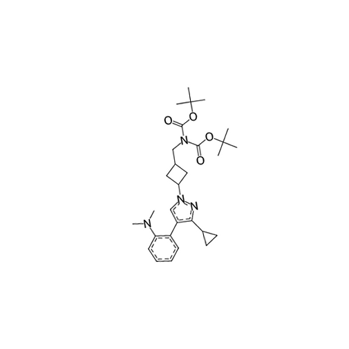 CN(C)c1ccccc1-c1cn(C2CC(CN(C(=O)OC(C)(C)C)C(=O)OC(C)(C)C)C2)nc1C1CC1